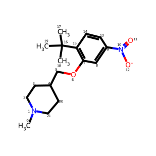 CN1CCC(COc2cc([N+](=O)[O-])ccc2C(C)(C)C)CC1